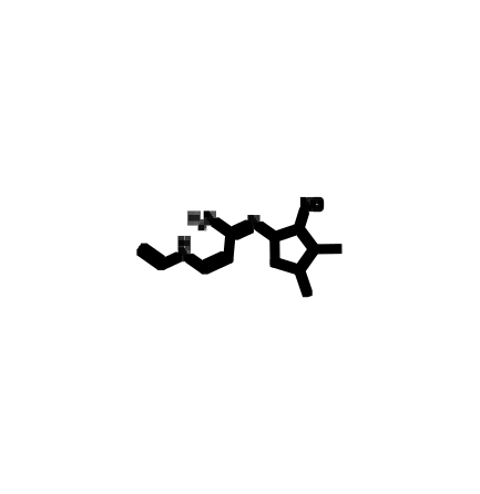 C=CN/C=C\C(N)=N/C1CC(C)C(C)C1N=O